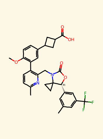 COc1ccc(C2CC(C(=O)O)C2)cc1-c1ccc(C)nc1CN1C(=O)O[C@H](c2cc(C)cc(C(F)(F)F)c2)C12CC2